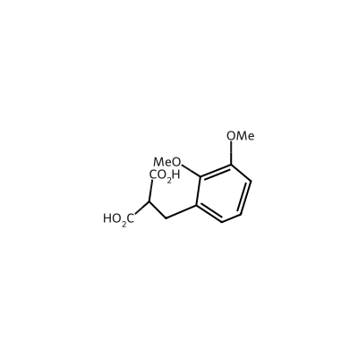 COc1cccc(CC(C(=O)O)C(=O)O)c1OC